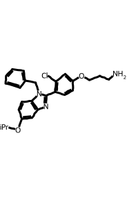 CC(C)Oc1ccc2c(c1)nc(-c1ccc(OCCCN)cc1Cl)n2Cc1ccccc1